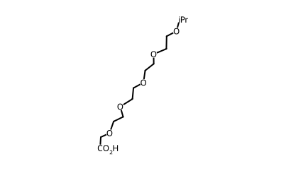 CC(C)OCCOCCOCCOCCOCC(=O)O